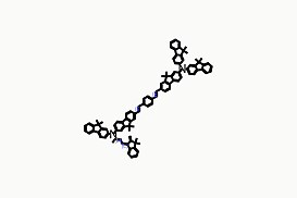 C=C1/C(=C\C=C(/C)N(c2ccc3c(c2)C(C)(C)c2ccccc2-3)c2ccc3c(c2)C(C)(C)c2cc(/C=C/c4ccc(/C=C/c5ccc6c(c5)C(C)(C)c5cc(N(c7ccc8c(c7)C(C)(C)c7ccccc7-8)c7ccc8c(c7)C(C)(C)c7ccccc7-8)ccc5-6)cc4)ccc2-3)c2ccccc2C1(C)C